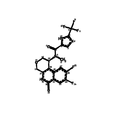 CN(C(=O)c1cnc(C(F)(F)F)[nH]1)[C@@H]1COCc2[nH]c(=O)c3cc(F)c(F)cc3c21